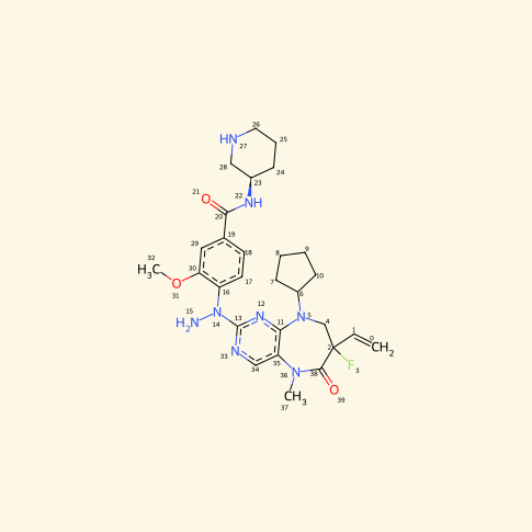 C=CC1(F)CN(C2CCCC2)c2nc(N(N)c3ccc(C(=O)N[C@@H]4CCCNC4)cc3OC)ncc2N(C)C1=O